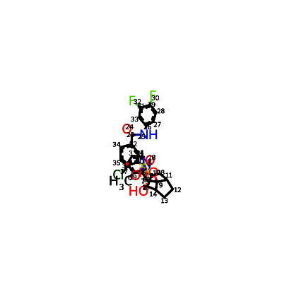 Cc1cccnc1[C@@H](O)C1(O)C2CCC1CC(S(=O)(=O)c1cc(C(=O)Nc3ccc(F)c(F)c3)ccc1Cl)C2